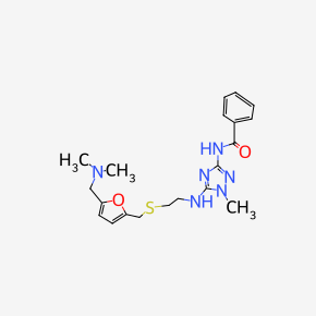 CN(C)Cc1ccc(CSCCNc2nc(NC(=O)c3ccccc3)nn2C)o1